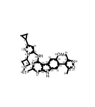 CCN1CC(n2nc(C3CC3)cc2Nc2nc(C)nc3[nH]c4cc(-c5c(C)noc5C)c(OC)cc4c23)C1